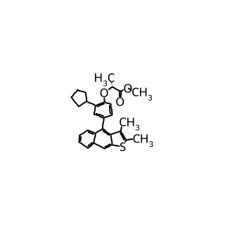 COC(=O)[C@@H](C)Oc1ccc(-c2c3ccccc3cc3sc(C)c(C)c23)cc1C1CCCC1